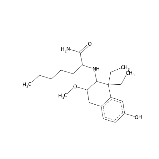 CCCCCC(NC1C(OC)Cc2ccc(O)cc2C1(CC)CC)C(N)=O